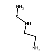 NCCNSN